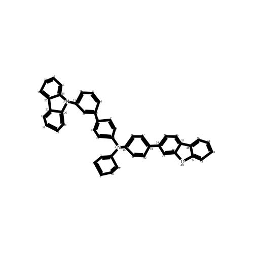 c1ccc(N(c2ccc(-c3cccc(-n4c5ccccc5c5ccccc54)c3)cc2)c2ccc(-c3ccc4c(c3)oc3ccccc34)cc2)cc1